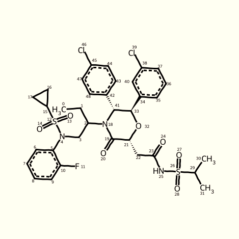 CCC(CN(c1ccccc1F)S(=O)(=O)C1CC1)N1C(=O)[C@@H](CC(=O)NS(=O)(=O)C(C)C)O[C@H](c2cccc(Cl)c2)[C@H]1c1ccc(Cl)cc1